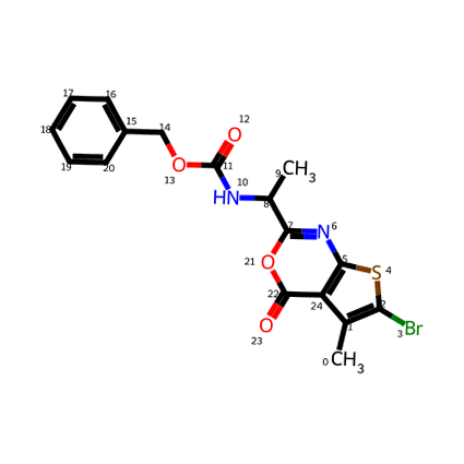 Cc1c(Br)sc2nc(C(C)NC(=O)OCc3ccccc3)oc(=O)c12